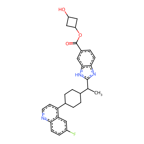 CC(c1nc2ccc(C(=O)OC3CC(O)C3)cc2[nH]1)C1CCC(c2ccnc3ccc(F)cc23)CC1